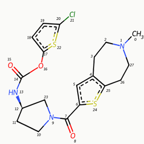 CN1CCc2cc(C(=O)N3CC[C@@H](NC(=O)Oc4ccc(Cl)s4)C3)sc2CC1